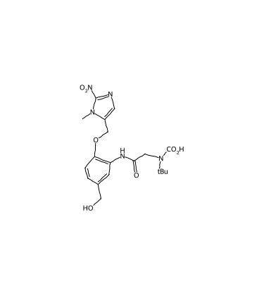 Cn1c(COc2ccc(CO)cc2NC(=O)CN(C(=O)O)C(C)(C)C)cnc1[N+](=O)[O-]